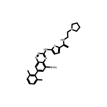 C=C(NCCN1CCCC1)c1ccc(Nc2nnc3cc(-c4c(C)cccc4C)cc(NC(C)=O)c3n2)o1